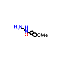 COc1ccc2cc(C(=O)NCCCN)ccc2c1